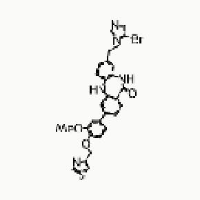 COc1cc(-c2ccc3c(c2)Nc2ccc(CCn4cncc4Br)cc2NC3=O)ccc1OCc1cscn1